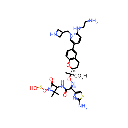 CC(O/N=C(\C(=O)NC1C(=O)N(OSO)C1(C)C)c1csc(N)n1)(C(=O)O)[C@H]1CCc2cc(-c3ccc(NCCN)[n+](CC4CNC4)c3)ccc2O1